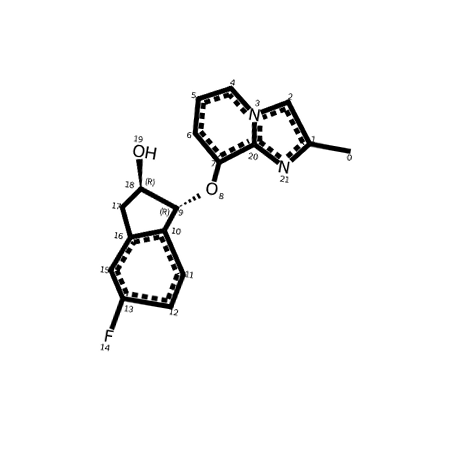 Cc1cn2cccc(O[C@@H]3c4ccc(F)cc4C[C@H]3O)c2n1